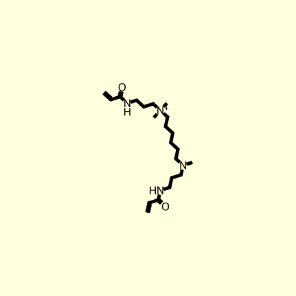 C=CC(=O)NCCCN(C)CCCCCC[N+](C)(C)CCCNC(=O)C=C